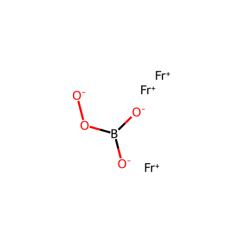 [Fr+].[Fr+].[Fr+].[O-]OB([O-])[O-]